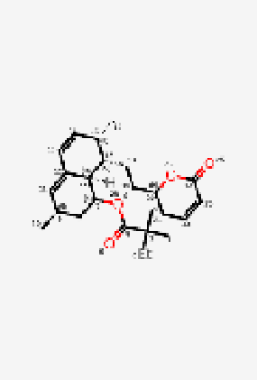 CCC(C)(C)C(=O)O[C@H]1C[C@@H](C)C=C2C=C[C@H](C)[C@H](CC[C@@H]3CC=CC(=O)O3)[C@H]21